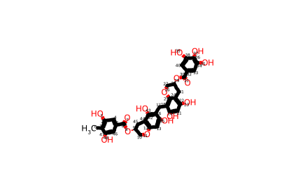 Cc1c(O)cc(C(=O)O[C@H]2COc3cc(O)c(Cc4c(O)cc(O)c5c4OC[C@H](OC(=O)c4cc(O)c(O)c(O)c4)C5)c(O)c3C2)cc1O